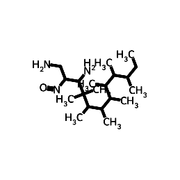 CCC(C)C(C)C(C)C(C)C(C)C(C)C(C)(C)C(N)C(CN)N=O